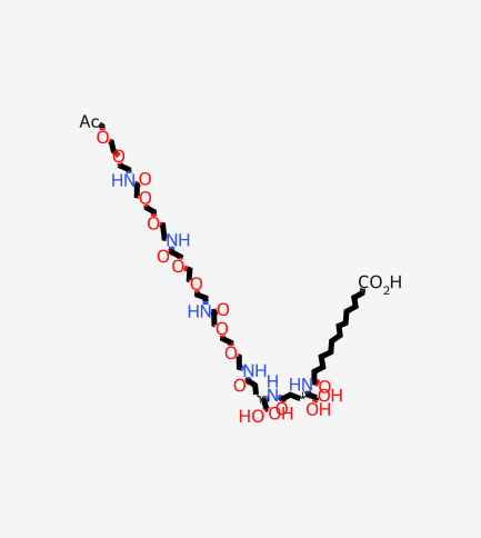 CC(=O)COCCOCCNC(=O)COCCOCCNC(=O)COCCOCCNC(=O)COCCOCCNC(=O)CC[C@H](NC(=O)CC[C@H](NC(=O)CCCCCCCCCCCCC(=O)O)C(O)O)C(O)O